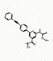 CC(C)(C)OC(=O)Nc1cc(C(=O)NO)cc(-c2ccc(C#Cc3cccnc3)cc2)n1